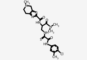 Cc1cc(NC(=O)C(=S)NCC(NC(=O)c2nc3c(s2)CN(C)CC3)C(=O)N(C)C)ccc1Cl